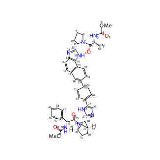 COC(=O)N[C@H](C(=O)N1CCC[C@H]1c1nc2ccc3cc(-c4ccc(-c5cnc([C@@H]6[C@H]7CC[C@H](C7)N6C(=O)[C@H](NC(=O)OC)c6ccccc6)[nH]5)cc4)ccc3c2[nH]1)C(C)C